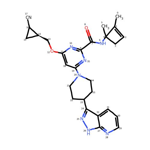 CC1=CCC1(C)NC(=O)c1nc(OC[C@H]2CC2C#N)cc(N2CCC(c3n[nH]c4ncccc34)CC2)n1